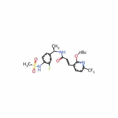 CCCCOc1nc(C(F)(F)F)ccc1C=CC(=O)N[C@H](C)c1ccc(NS(C)(=O)=O)c(F)c1